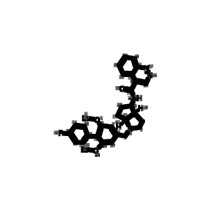 CCOc1cc(CN2CC[C@H]3C(NC(=O)c4cnnc5ccccc45)CC[C@H]32)cc(OCC)c1-c1ccc(F)cc1